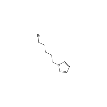 BrCCCCCn1cccc1